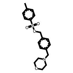 Cc1ccc(S(=O)(=O)OCc2ccc(CN3CCOCC3)cc2)cc1